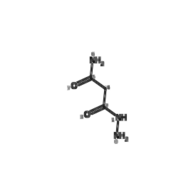 NNC(=O)[CH]C(N)=O